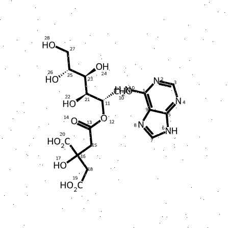 Nc1ncnc2[nH]cnc12.O=C[C@H](OC(=O)CC(O)(CC(=O)O)C(=O)O)[C@@H](O)[C@H](O)[C@H](O)CO